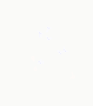 CCNc1nccc(-c2cn(Cc3ccc(OC)cc3)nc2-c2cccc(NS(=O)(=O)c3cc(F)ccc3F)c2)n1